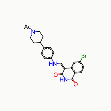 CC(=O)N1CCC(c2ccc(N/C=C3\C(=O)NC(=O)c4ccc(Br)cc43)cc2)CC1